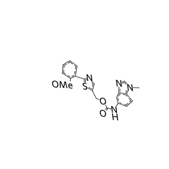 COc1ccccc1-c1ncc(COC(=O)Nc2ccc3c(c2)ncn3C)s1